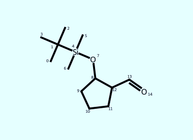 CC(C)(C)[Si](C)(C)OC1CCCC1C=O